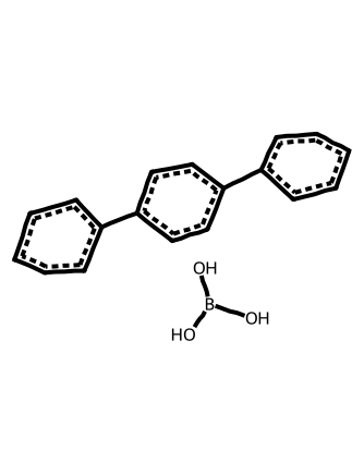 OB(O)O.c1ccc(-c2ccc(-c3ccccc3)cc2)cc1